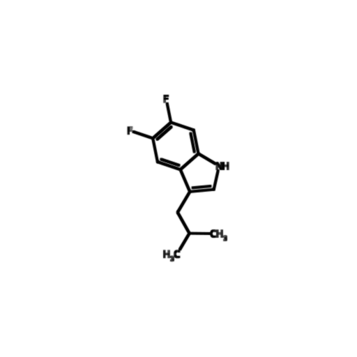 CC(C)Cc1c[nH]c2cc(F)c(F)cc12